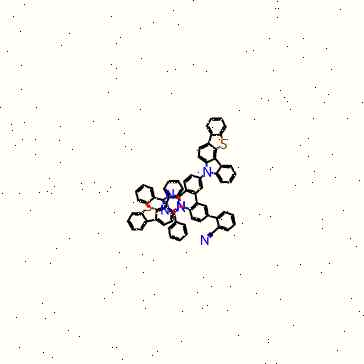 N#Cc1ccccc1-c1ccc(-n2c3ccccc3c3c4sc5ccccc5c4ccc32)c(-c2cc(-n3c4ccccc4c4c5sc6ccccc6c5ccc43)ccc2-c2nc(-c3ccccc3)nc(-c3ccccc3)n2)c1